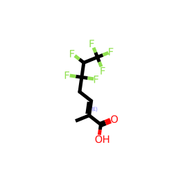 C/C(=C\CC(F)(F)C(F)C(F)(F)F)C(=O)O